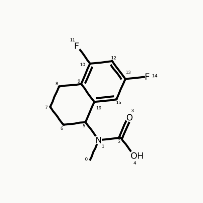 CN(C(=O)O)C1CCCc2c(F)cc(F)cc21